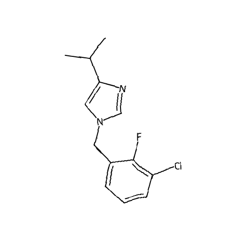 CC(C)c1cn(Cc2cccc(Cl)c2F)cn1